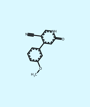 COc1cccc(-c2cc(=O)[nH]cc2C#N)c1